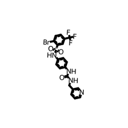 O=C(NCc1cccnc1)Nc1ccc(NS(=O)(=O)c2cc(C(F)(F)F)ccc2Br)cc1